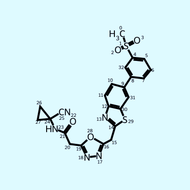 CS(=O)(=O)c1cccc(-c2ccc3nc(Cc4nnc(CC(=O)NC5(C#N)CC5)o4)sc3c2)c1